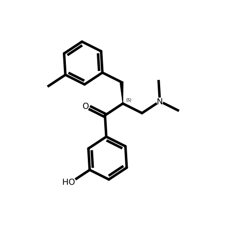 Cc1cccc(C[C@@H](CN(C)C)C(=O)c2cccc(O)c2)c1